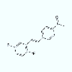 CC(=O)c1ccc(/C=C/c2cc(F)ccc2F)cc1